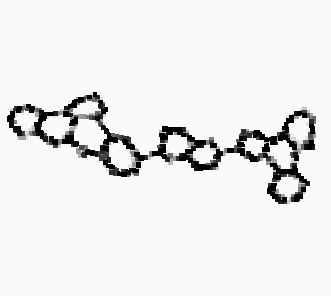 c1ccc2c(c1)cc1c3c(cccc32)-c2cc(-c3ccc4cc(-c5ccc6c7ccccc7c7ccccc7c6c5)ccc4c3)ccc2O1